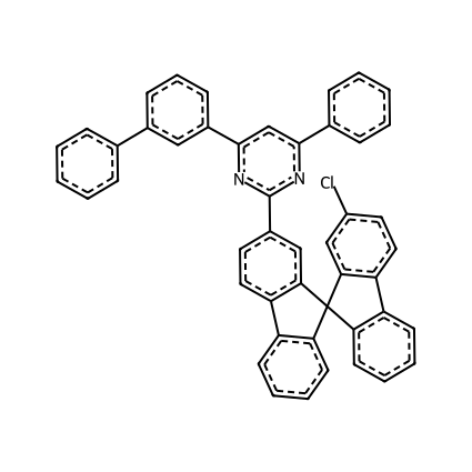 Clc1ccc2c(c1)C1(c3ccccc3-2)c2ccccc2-c2ccc(-c3nc(-c4ccccc4)cc(-c4cccc(-c5ccccc5)c4)n3)cc21